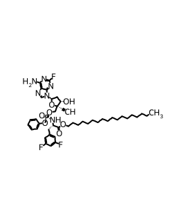 C#C[C@]1(CO[P@](=O)(N[C@@H](Cc2cc(F)cc(F)c2)C(=O)OCCCCCCCCCCCCCCCCCC)Oc2ccccc2)O[C@@H](n2cnc3c(N)nc(F)nc32)C[C@@H]1O